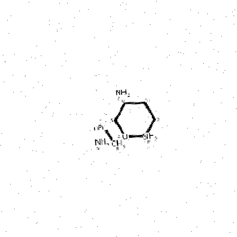 C1CC[SiH2]OC1.CCCC.N.N